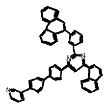 c1cncc(-c2ccc(-c3ccc(-c4cc(-c5cccc6ccccc56)nc(-c5cccc(-c6cc7ccccc7c7ccccc67)c5)n4)cc3)cc2)c1